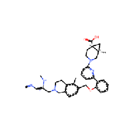 C=N/C=C(/CN1CCc2c(ccc(COc3ccccc3-c3cccc(N4CC[C@@]5(C(=O)O)C[C@H]5C4)n3)c2C)C1)NC